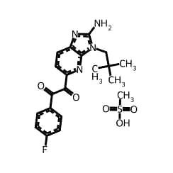 CC(C)(C)Cn1c(N)nc2ccc(C(=O)C(=O)c3ccc(F)cc3)nc21.CS(=O)(=O)O